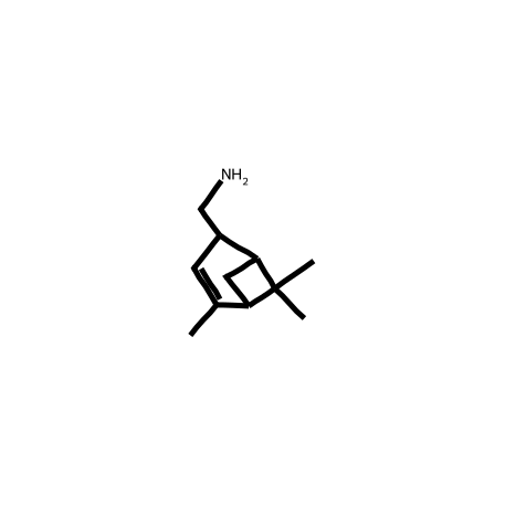 CC1=CC(CN)C2CC1C2(C)C